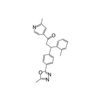 Cc1cc(C(=O)CC(c2ccc(-c3nnc(C)o3)cc2)c2ccccc2C)ccn1